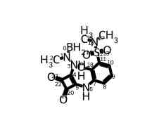 BN(C)Nc1c(Nc2cccc(S(=O)(=O)N(C)C)c2O)c(=O)c1=O